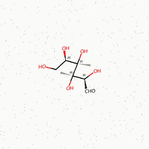 C[C@@](O)([C@H](O)CO)[C@](C)(O)[C@@H](O)C=O